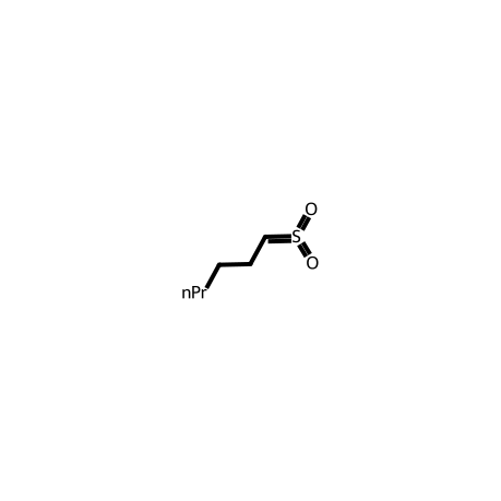 CCCCCC=S(=O)=O